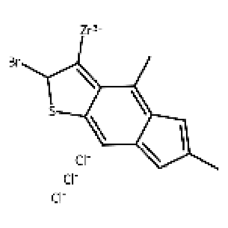 CC1=Cc2c(C)c3c(cc2=C1)SC(Br)[C]=3[Zr+3].[Cl-].[Cl-].[Cl-]